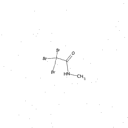 CNC(=O)C(Br)(Br)Br